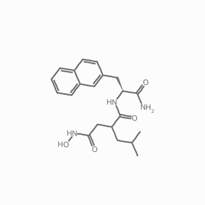 CC(C)CC(CC(=O)NO)C(=O)N[C@@H](Cc1ccc2ccccc2c1)C(N)=O